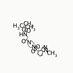 Cn1ncc2c(S(=O)(=O)N3CCN(C(=O)CNC(=O)OC(C)(C)C)CC3)cccc21